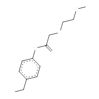 CC(=O)OCc1ccc(NC(=O)COCCNC(C)(C)C)cc1